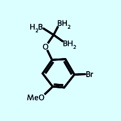 BC(B)(B)Oc1cc(Br)cc(OC)c1